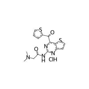 CN(C)CC(=O)Nc1nc(C(=O)c2cccs2)c2sccc2n1.Cl